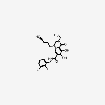 C#CCCCN1CN(CC)C(=O)C2=C(O)C(O)C(C(=O)NCc3cccc(Cl)c3F)=CN21